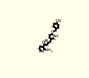 N#Cc1ccc(COC2C=CC(Cc3cc(-c4cccnc4N)on3)=CN2)cc1